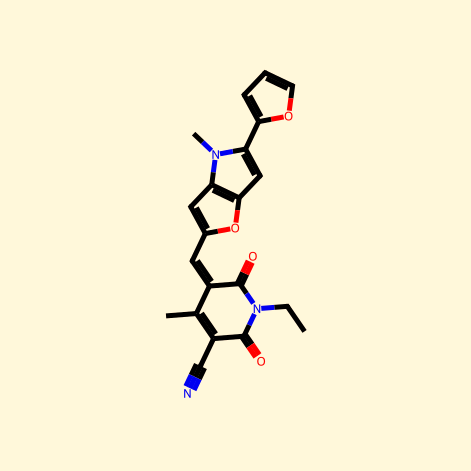 CCN1C(=O)C(C#N)=C(C)/C(=C/c2cc3c(cc(-c4ccco4)n3C)o2)C1=O